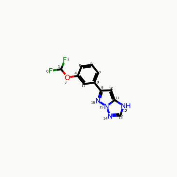 FC(F)Oc1cccc(-c2cc3[nH][c]nn3n2)c1